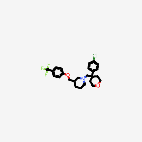 FC(F)(F)c1ccc(OCC2CCCN(CC3(c4ccc(Cl)cc4)CCOCC3)C2)cc1